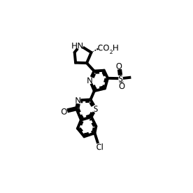 CS(=O)(=O)c1cc(-c2nc(=O)c3ccc(Cl)cc3s2)nc(C2CCN[C@@H]2C(=O)O)c1